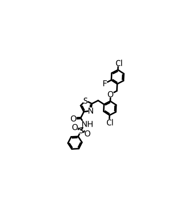 O=C(NS(=O)(=O)c1ccccc1)c1csc(Cc2cc(Cl)ccc2OCc2ccc(Cl)cc2F)n1